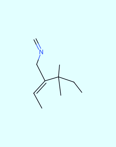 C=NC/C(=C/C)C(C)(C)CC